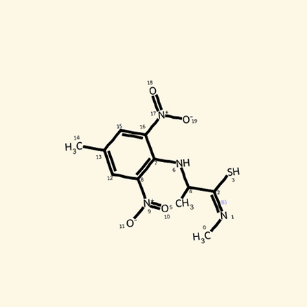 C/N=C(/S)C(C)Nc1c([N+](=O)[O-])cc(C)cc1[N+](=O)[O-]